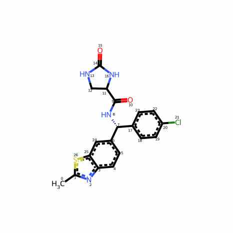 Cc1nc2ccc([C@H](NC(=O)C3CNC(=O)N3)c3ccc(Cl)cc3)cc2s1